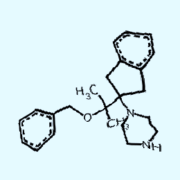 CC(C)(OCc1ccccc1)C1(N2CCNCC2)Cc2ccccc2C1